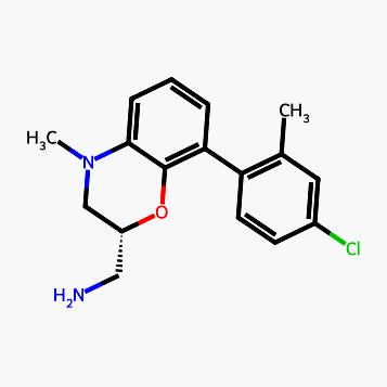 Cc1cc(Cl)ccc1-c1cccc2c1O[C@H](CN)CN2C